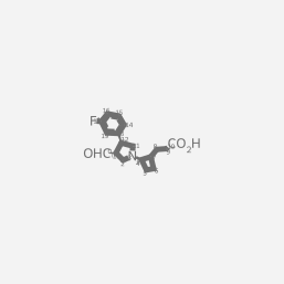 O=C[C@H]1CN([C@@H]2CCC2CCC(=O)O)C[C@@H]1c1cccc(F)c1